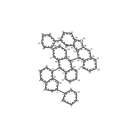 c1ccc(-c2ccc3cccc(-c4c5ccccc5c(-c5c6ccccc6cc6oc7ccc(-c8ccccc8)cc7c56)c5ccccc45)c3c2)cc1